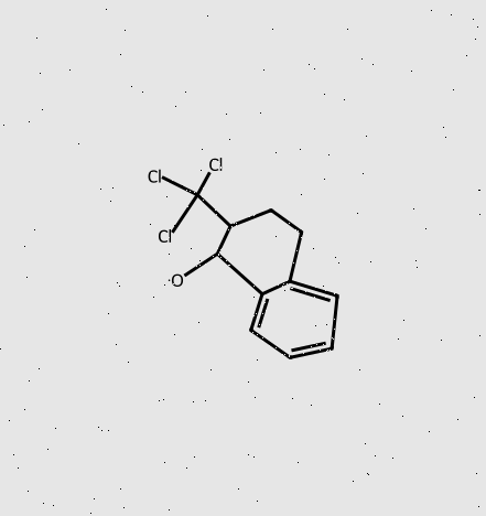 [O]C1c2ccccc2CCC1C(Cl)(Cl)Cl